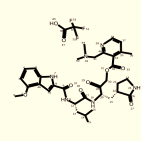 COc1cccc2[nH]c(C(=O)N[C@@H](CC(C)C)C(=O)N[C@@H](C[C@@H]3CCNC3=O)C(=O)COC(=O)c3c(C)ccnc3CN(C)C)cc12.O=C(O)C(F)(F)F